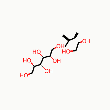 C=CC(=C)C.OCCO.OC[C@@H](O)[C@@H](O)[C@H](O)[C@@H](O)CO